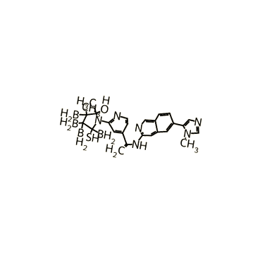 BC1(S)N(c2cc(C(=C)Nc3cc4cc(-c5cncn5C)ccc4cn3)ccn2)C(C)(O)C(B)(C)C1(B)B